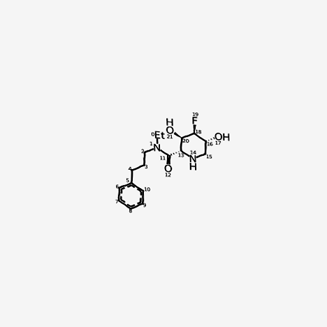 CCN(CCCc1ccccc1)C(=O)[C@H]1NC[C@@H](O)[C@H](F)[C@@H]1O